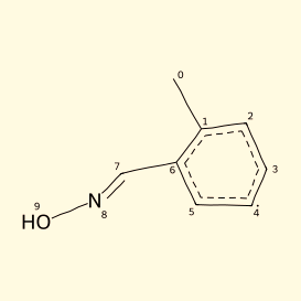 Cc1cc[c]cc1C=NO